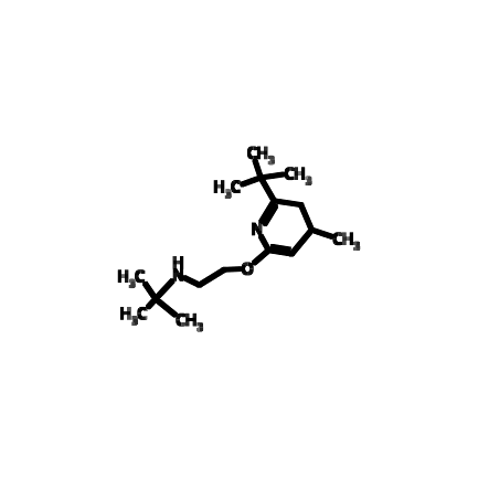 CC1C=C(OCCNC(C)(C)C)N=C(C(C)(C)C)C1